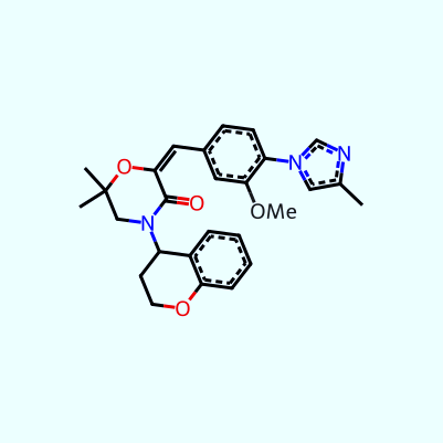 COc1cc(C=C2OC(C)(C)CN(C3CCOc4ccccc43)C2=O)ccc1-n1cnc(C)c1